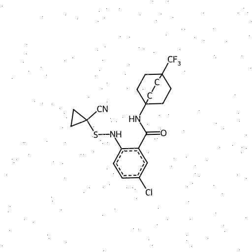 N#CC1(SNc2ccc(Cl)cc2C(=O)NC23CCC(C(F)(F)F)(CC2)CC3)CC1